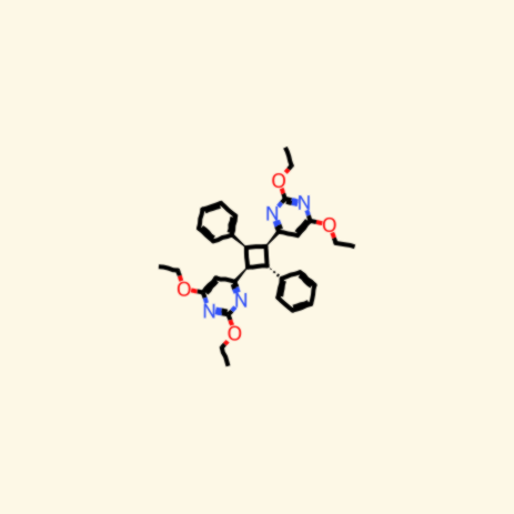 CCOc1cc([C@H]2[C@H](c3ccccc3)[C@@H](c3cc(OCC)nc(OCC)n3)[C@H]2c2ccccc2)nc(OCC)n1